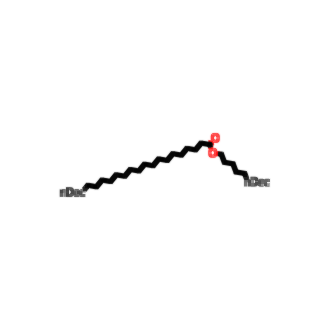 CCCCCCCCCCCCCCCCCCCCCCCCCCCC(=O)OCCCCCCCCCCCCCCC